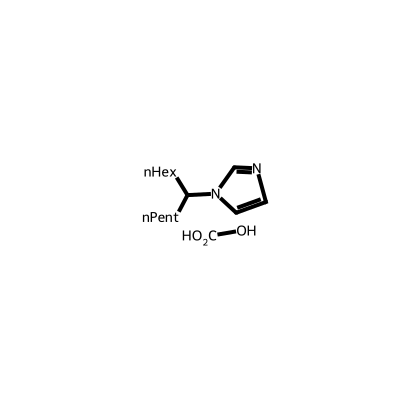 CCCCCCC(CCCCC)n1ccnc1.O=C(O)O